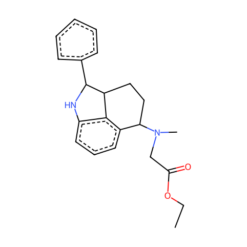 CCOC(=O)CN(C)C1CCC2c3c(cccc31)NC2c1ccccc1